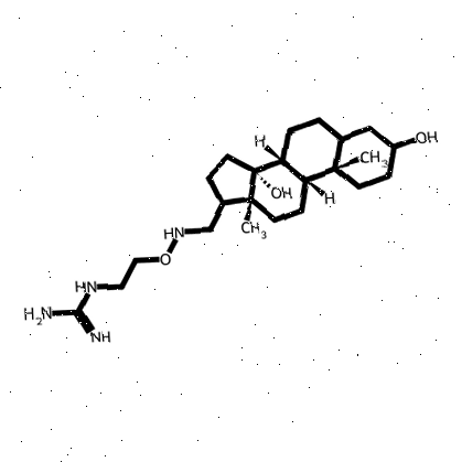 C[C@]12CCC(O)CC1CC[C@@H]1[C@H]2CC[C@]2(C)C(CNOCCNC(=N)N)CC[C@@]12O